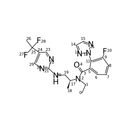 CCN(C(=O)c1cccc(F)c1-n1nccn1)[C@@H](C)CNc1ncc(C(C)(F)F)cn1